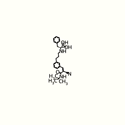 CC(C)(C)NC(=O)C(C#N)=Cc1cccc(CCCN[C@@H](Cc2ccccc2)B(O)O)c1